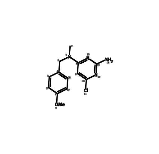 COc1ccc(CN(C)c2cc(Cl)nc(N)n2)cc1